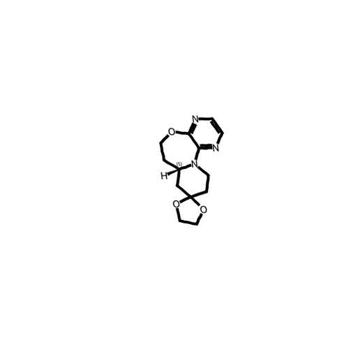 c1cnc2c(n1)OCC[C@H]1CC3(CCN21)OCCO3